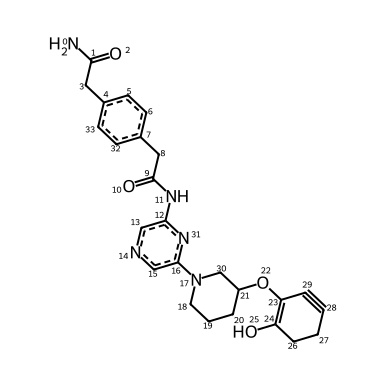 NC(=O)Cc1ccc(CC(=O)Nc2cncc(N3CCCC(OC4=C(O)CCC#C4)C3)n2)cc1